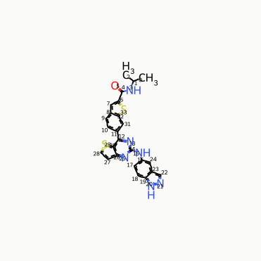 CC(C)NC(=O)c1cc2ccc(-c3nc(Nc4ccc5[nH]ncc5c4)nc4ccsc34)cc2s1